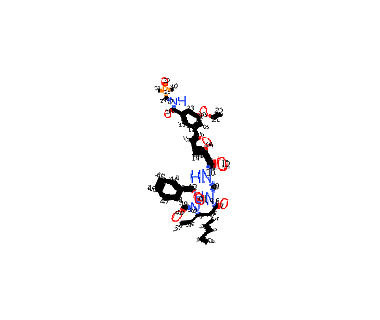 CCCCC[C@@H](C(=O)NCNC(=O)c1ccc(-c2cc(OCC)cc(C(=O)NCP(C)(C)=O)c2)o1)[C@@H](CC)N(C=O)OCc1ccccc1